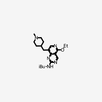 CCOc1ncc(CC2CCN(C)CC2)c2nc(N[C@@H](C)CC)ncc12